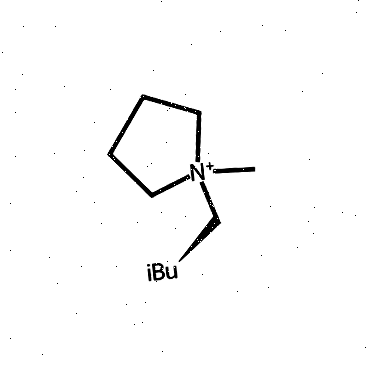 CC[C@H](C)C[N+]1(C)CCCC1